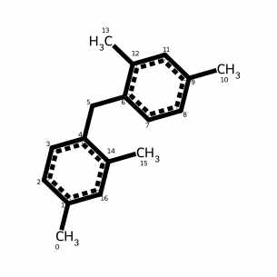 Cc1ccc(Cc2ccc(C)cc2C)c(C)c1